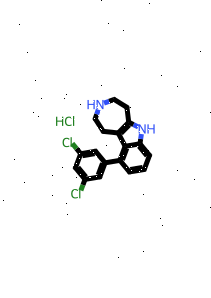 Cl.Clc1cc(Cl)cc(-c2cccc3[nH]c4c(c23)CCNCC4)c1